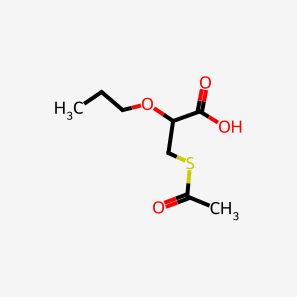 CCCOC(CSC(C)=O)C(=O)O